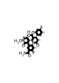 Cn1nccc(-c2cc(C(N)=O)c(F)cc2N2C=C(C(=O)O)[C@H](c3ccc(F)cc3)CC2=O)c1=O